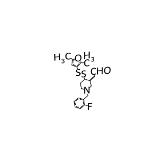 Cc1cc(SSC2CCN(Cc3ccccc3F)C/C2=C/C=O)c(C)o1